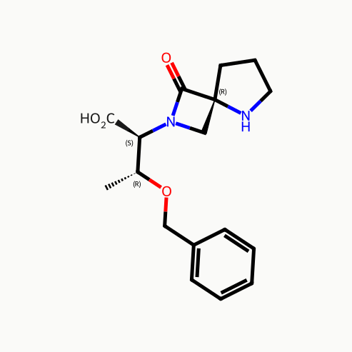 C[C@@H](OCc1ccccc1)[C@@H](C(=O)O)N1C[C@]2(CCCN2)C1=O